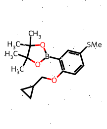 CSc1ccc(OCC2CC2)c(B2OC(C)(C)C(C)(C)O2)c1